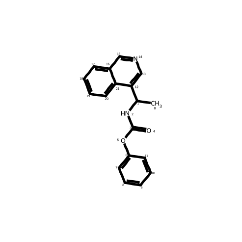 CC(NC(=O)Oc1ccccc1)c1cncc2ccccc12